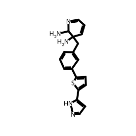 NC1N=CC=CC1(N)Cc1cccc(-c2ccc(-c3ccn[nH]3)s2)c1